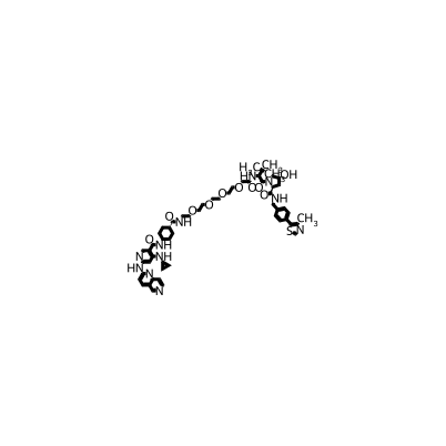 Cc1ncsc1-c1ccc(CNC(=O)[C@@H]2C[C@@H](O)CN2C(=O)C(NC(=O)COCCOCCOCCOCCNC(=O)[C@H]2CC[C@H](NC(=O)c3cnc(Nc4ccc5cnccc5n4)cc3NC3CC3)CC2)C(C)(C)C)cc1